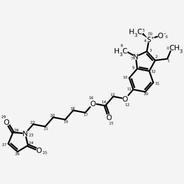 CCc1c([S@@+](C)[O-])n(C)c2cc(OCC(=O)OCCCCCCN3C(=O)C=CC3=O)ccc12